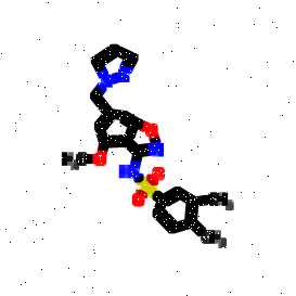 COc1cc(Cn2cccn2)cc2onc(NS(=O)(=O)c3ccc(C)c(C)c3)c12